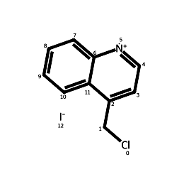 ClCC1=CC=[N+]c2ccccc21.[I-]